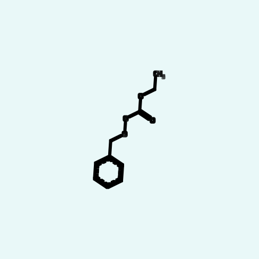 CCOC(=O)OOCc1ccccc1